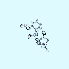 CCOc1cccc(OCCN(C)C)c1C(=O)OC(C)(C)C